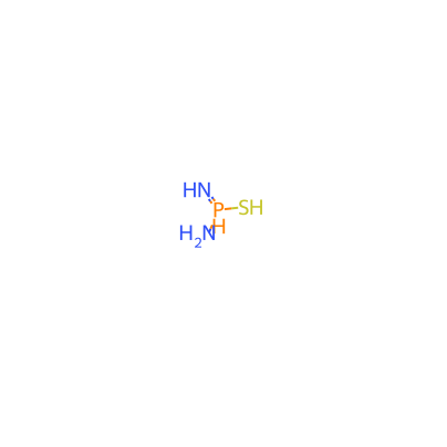 N=[PH](N)S